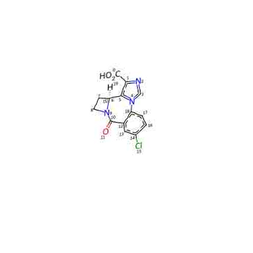 O=C(O)c1ncn2c1[C@@H]1CCN1C(=O)c1cc(Cl)ccc1-2